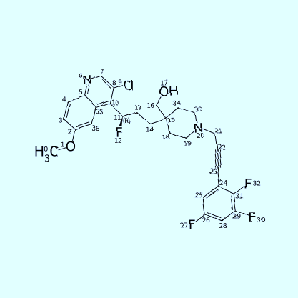 COc1ccc2ncc(Cl)c([C@H](F)CCC3(CO)CCN(CC#Cc4cc(F)cc(F)c4F)CC3)c2c1